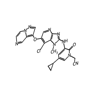 Cn1c(Nc2cc(C3CC3)cn(CC#N)c2=O)nc2ncc(Oc3cnn4ccncc34)c(Cl)c21